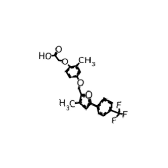 Cc1cc(OCc2oc(-c3ccc(C(F)(F)F)cc3)cc2C)ccc1OCC(=O)O